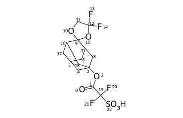 O=C(OC12CC3CC(C1)C1(OCC(F)(F)O1)C(C3)C2)C(F)(F)S(=O)(=O)O